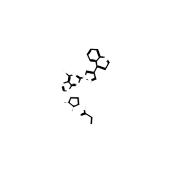 CCC(=O)N[C@H]1C[C@@H](n2cnc3c(N)nc(-n4cc(-c5ccnc6ccccc56)cn4)nc32)[C@H](O)[C@@H]1O